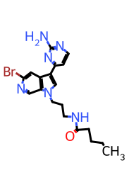 CCCCC(=O)NCCCn1cc(-c2ccnc(N)n2)c2cc(Br)ncc21